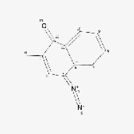 CC1=CC(=[N+]=[N-])c2ccccc2C1=O